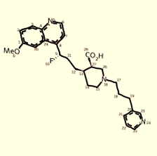 COc1ccc2nccc([C@@H](F)CC[C@@H]3CCN(CCCc4cccnc4)C[C@@H]3C(=O)O)c2c1